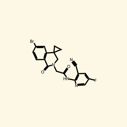 N#Cc1cc(F)cnc1NC(=O)CN1CC2(CC2)c2cc(Br)ccc2C1=O